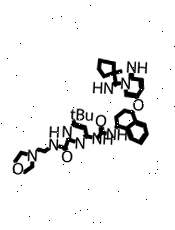 CC1(C(=N)n2cc(OC3CCC(NC(=O)Nc4cc(C(C)(C)C)nc(C(=O)NCCN5CCOCC5)n4)c4ccccc43)ccc2=N)CCCC1